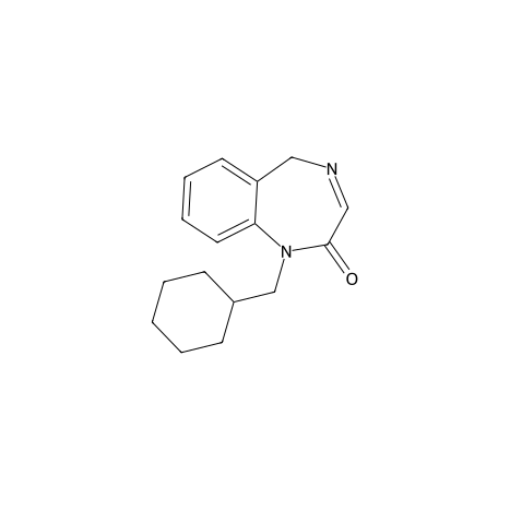 O=C1C=NCc2ccccc2N1CC1CCCCC1